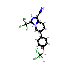 N#Cc1nc(C(F)(F)F)n2cc(-c3ccc(OC(F)(F)F)cc3)ccc12